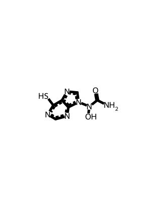 NC(=O)N(O)n1cnc2c(S)ncnc21